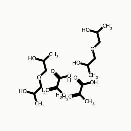 C=C(C)C(=O)O.C=C(C)C(=O)O.CC(O)COCC(C)O.CC(O)COCC(C)O